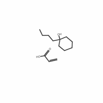 C=CC(=O)O.CCCCC1(O)CCCCC1